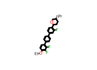 CCCC1CCC(c2ccc(-c3ccc(-c4ccc(OCC)c(F)c4F)cc3)cc2F)OC1